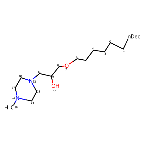 CCCCCCCCCCCCCCCCOCC(O)CN1CCN(C)CC1